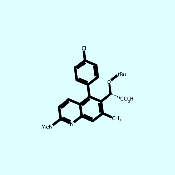 CNc1ccc2c(-c3ccc(Cl)cc3)c([C@H](OC(C)(C)C)C(=O)O)c(C)cc2n1